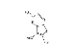 CCCc1sc2ccc(C(F)(F)F)cc2c1OC(C)=O